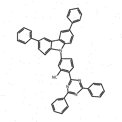 N#Cc1cc(-n2c3ccc(-c4ccccc4)cc3c3cc(-c4ccccc4)ccc32)ccc1-c1nc(-c2ccccc2)nc(-c2ccccc2)n1